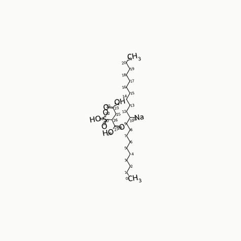 CCCCCCCCCC[CH]([Na])CCCCCCCCCC.O=C(O)CC(C(=O)O)S(=O)(=O)O